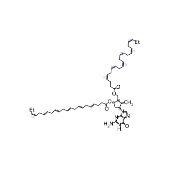 C=C1[C@H](COC(=O)CC/C=C\C/C=C\C/C=C\C/C=C\C/C=C\C/C=C\CC)[C@@H](OC(=O)CCC=CCC=CCC=CCC=CCC=CC/C=C\CC)C[C@@H]1n1cnc2c(=O)[nH]c(N)nc21